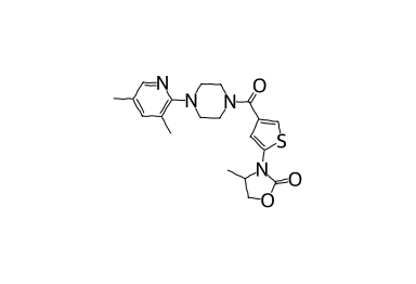 Cc1cnc(N2CCN(C(=O)c3csc(N4C(=O)OCC4C)c3)CC2)c(C)c1